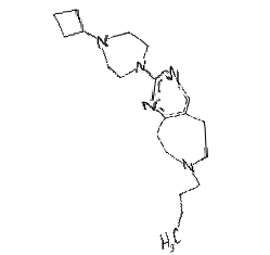 CCCCN1CCc2cnc(N3CCN(C4CCC4)CC3)nc2CC1